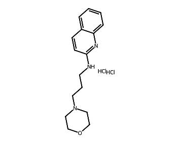 Cl.Cl.c1ccc2nc(NCCCN3CCOCC3)ccc2c1